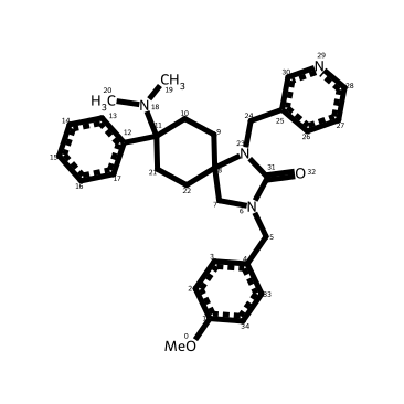 COc1ccc(CN2CC3(CCC(c4ccccc4)(N(C)C)CC3)N(Cc3cccnc3)C2=O)cc1